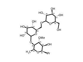 CO[C@@H]1[C@@H](O)[C@@H](C(C)C)O[C@@H](C)[C@H]1OC1O[C@H](COC2O[C@H](CO)[C@@H](O)[C@H](O)[C@H]2O)[C@@H](O)[C@H](O)[C@H]1O